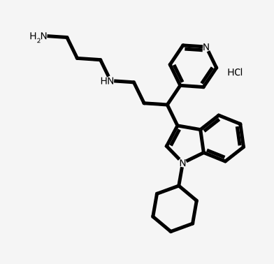 Cl.NCCCNCCC(c1ccncc1)c1cn(C2CCCCC2)c2ccccc12